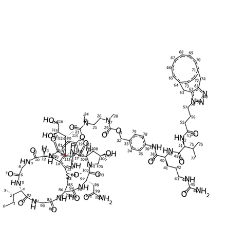 CC[C@H](C)[C@@H]1NC(=O)CNC(=O)[C@H]2Cc3c([nH]c4cc(OC(=O)N(C)CCN(C)C(=O)OCc5ccc(NC(=O)[C@H](CCCNC(N)=O)NC(=O)[C@@H](NC(=O)CCCn6nnc7c6Cc6ccccccc(cc6)C7)C(C)C)cc5)ccc34)[S+]([O-])C[C@H](NC(=O)CNC1=O)C(=O)N[C@@H](CC(N)=O)C(=O)N1C[C@H](O)C[C@H]1C(=O)N[C@@H]([C@@H](C)[C@@H](O)CO)C(=O)N2